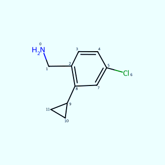 NCc1ccc(Cl)cc1C1CC1